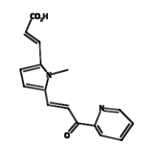 Cn1c(/C=C/C(=O)O)ccc1/C=C/C(=O)c1ccccn1